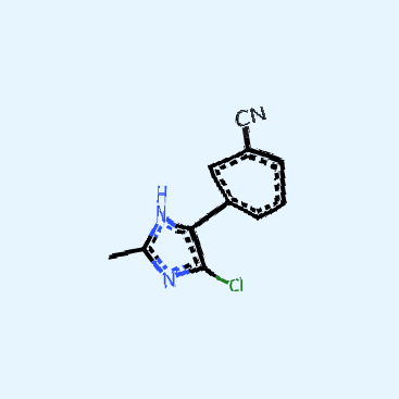 Cc1nc(Cl)c(-c2cccc(C#N)c2)[nH]1